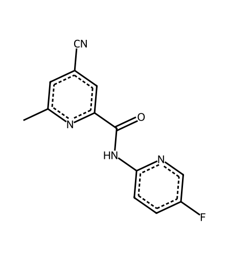 Cc1cc(C#N)cc(C(=O)Nc2ccc(F)cn2)n1